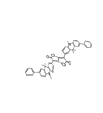 CN1c2ccc(C3=C4OC(=O)C(c5ccc6c(c5)C(C)(C)c5cc(-c7ccccc7)ccc5N6C)=C4OC3=O)cc2C(C)(C)c2cc(-c3ccccc3)ccc21